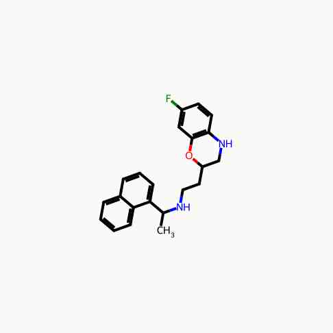 CC(NCCC1CNc2ccc(F)cc2O1)c1cccc2ccccc12